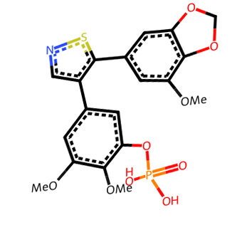 COc1cc(-c2cnsc2-c2cc(OC)c3c(c2)OCO3)cc(OP(=O)(O)O)c1OC